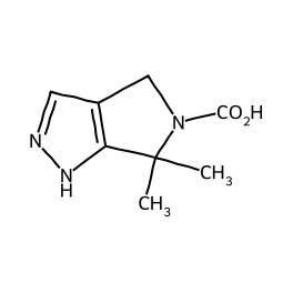 CC1(C)c2[nH]ncc2CN1C(=O)O